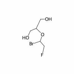 OCC(CO)OC(Br)CF